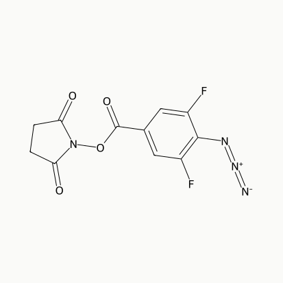 [N-]=[N+]=Nc1c(F)cc(C(=O)ON2C(=O)CCC2=O)cc1F